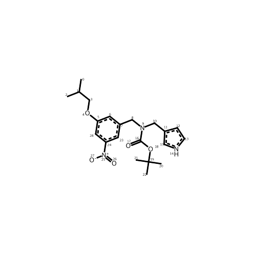 CC(C)COc1cc(CN(Cc2cc[nH]c2)C(=O)OC(C)(C)C)cc([N+](=O)[O-])c1